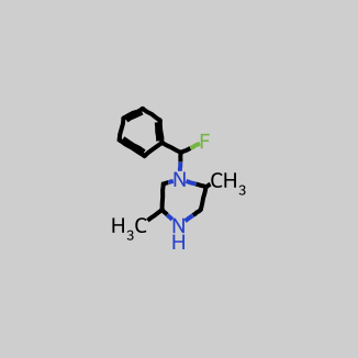 CC1CN(C(F)c2ccccc2)C(C)CN1